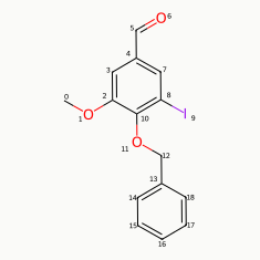 COc1cc(C=O)cc(I)c1OCc1ccccc1